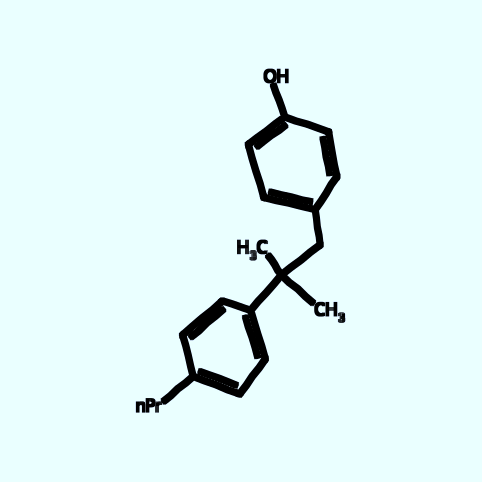 CCCc1ccc(C(C)(C)Cc2ccc(O)cc2)cc1